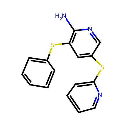 Nc1ncc(Sc2ccccn2)cc1Sc1ccccc1